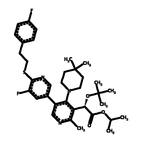 Cc1ncc(-c2cnc(SCCc3ccc(F)cc3)c(F)c2)c(N2CCC(C)(C)CC2)c1[C@H](OC(C)(C)C)C(=O)OC(C)C